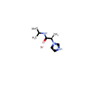 COC(C)NC(=O)[C@@H](C)[n+]1cc[nH]c1.[Br-]